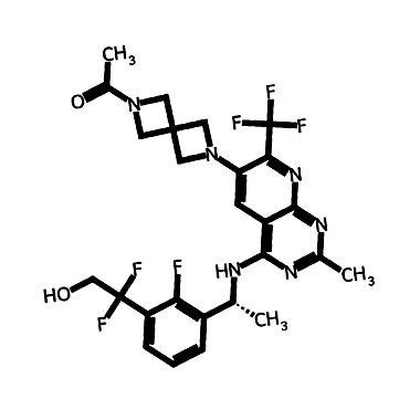 CC(=O)N1CC2(C1)CN(c1cc3c(N[C@H](C)c4cccc(C(F)(F)CO)c4F)nc(C)nc3nc1C(F)(F)F)C2